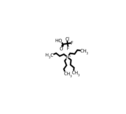 CCCC[N+](CCCC)(CCCC)CCCC.O=C(O)C(F)(F)Cl